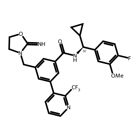 COc1cc([C@@H](NC(=O)c2cc(CN3CCOC3=N)cc(-c3cccnc3C(F)(F)F)c2)C2CC2)ccc1F